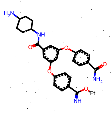 CCOC(=N)c1ccc(Oc2cc(Oc3ccc(C(N)=O)cc3)cc(C(=O)NC3CCC(N)CC3)c2)cc1